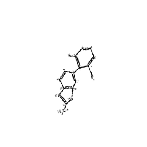 Cc1cccc(F)c1-c1ccc2nc(N)sc2c1